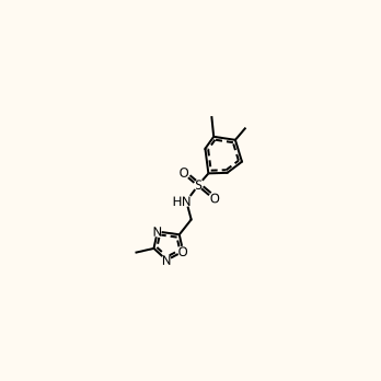 Cc1noc(CNS(=O)(=O)c2ccc(C)c(C)c2)n1